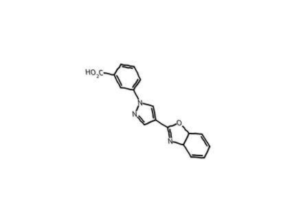 O=C(O)c1cccc(-n2cc(C3=NC4C=CC=CC4O3)cn2)c1